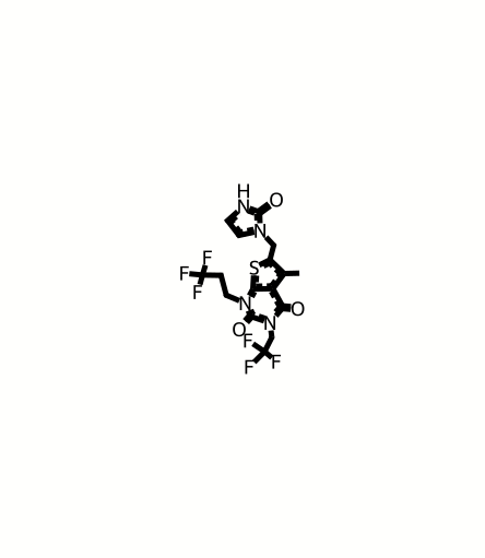 Cc1c(Cn2cc[nH]c2=O)sc2c1c(=O)n(CC(F)(F)F)c(=O)n2CCC(F)(F)F